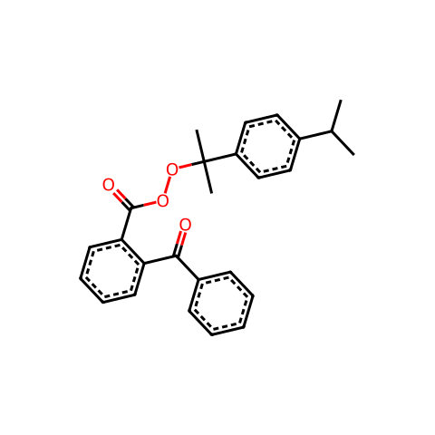 CC(C)c1ccc(C(C)(C)OOC(=O)c2ccccc2C(=O)c2ccccc2)cc1